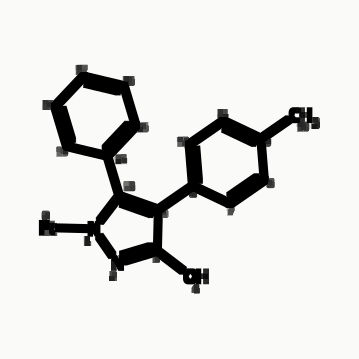 CCn1nc(O)c(-c2ccc(C)cc2)c1-c1ccccc1